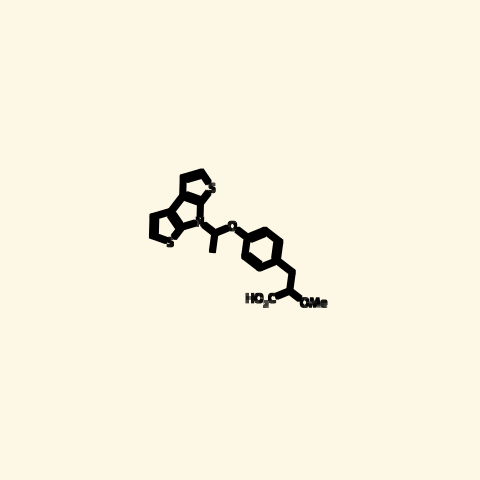 COC(Cc1ccc(OC(C)n2c3sccc3c3ccsc32)cc1)C(=O)O